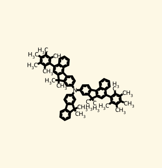 Cc1c(C)c(C)c(-c2cc3c(c4ccccc24)-c2ccc(N(c4ccc5c(c4)C(C)(C)c4ccccc4-5)c4ccc5c(c4)C(C)(C)c4cc(-c6c(C)c(C)c(C)c(C)c6C)c6ccccc6c4-5)cc2C3(C)C)c(C)c1C